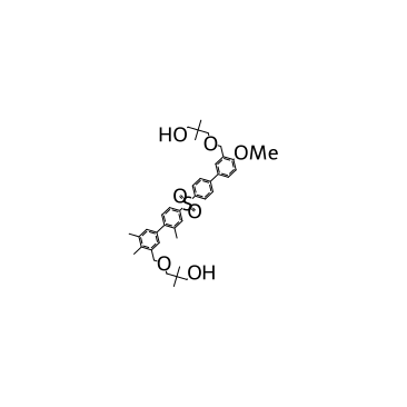 COc1ccc(-c2ccc(S(=O)(=O)c3ccc(-c4cc(C)c(C)c(COCC(C)(C)CO)c4)c(C)c3)cc2)cc1COCC(C)(C)CO